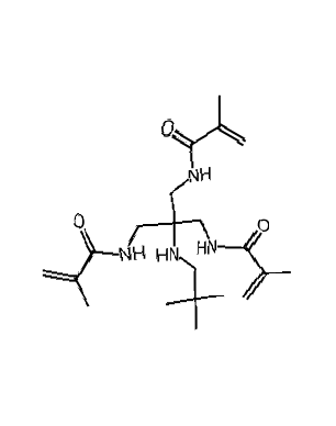 C=C(C)C(=O)NCC(CNC(=O)C(=C)C)(CNC(=O)C(=C)C)NCC(C)(C)C